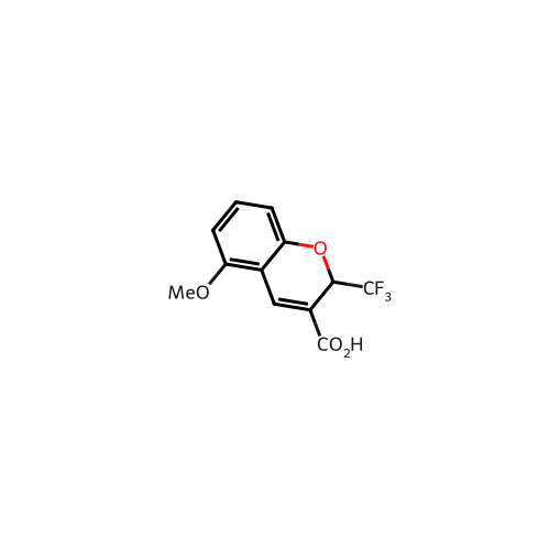 COc1cccc2c1C=C(C(=O)O)C(C(F)(F)F)O2